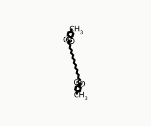 Cc1ccc(S(=O)(=O)CCCCCCCCCCCCCCCCS(=O)(=O)c2ccc(C)cc2)cc1